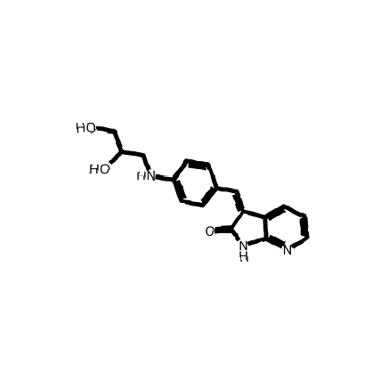 O=C1Nc2ncccc2C1=Cc1ccc(NCC(O)CO)cc1